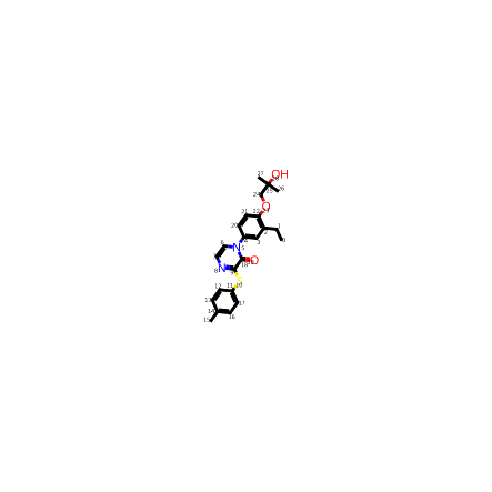 CCc1cc(-n2ccnc(Sc3ccc(C)cc3)c2=O)ccc1OCC(C)(C)O